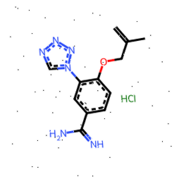 C=C(C)COc1ccc(C(=N)N)cc1-n1cnnn1.Cl